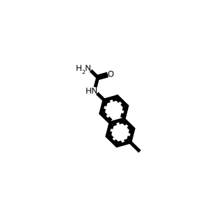 Cc1ccc2cc(NC(N)=O)ccc2c1